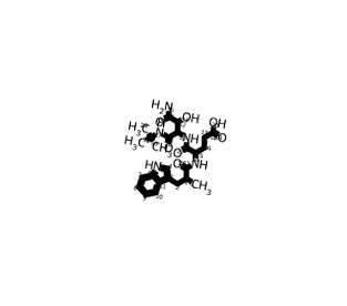 CC(Cc1c[nH]c2ccccc12)C(=O)NC(CCC(=O)O)C(=O)NC(C(=O)NC(C)(C)C)C(O)C(N)=O